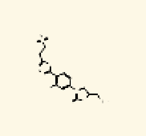 CC(=O)NCC1CN(c2ccc(-c3nnc(CCS(C)(=O)=O)s3)c(F)c2)C(=O)O1